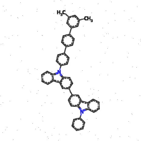 Cc1cc(C)cc(-c2ccc(-c3ccc(-n4c5ccccc5c5cc(-c6ccc7c(c6)c6ccccc6n7-c6ccccc6)ccc54)cc3)cc2)c1